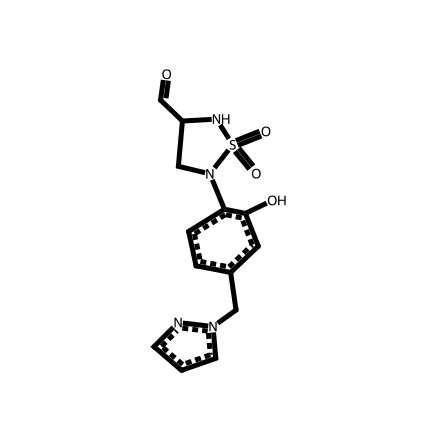 O=CC1CN(c2ccc(Cn3cccn3)cc2O)S(=O)(=O)N1